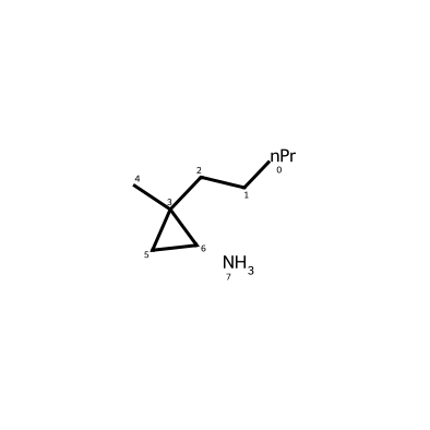 CCCCCC1(C)CC1.N